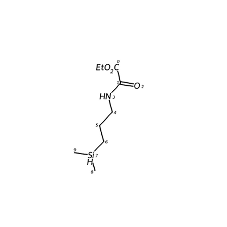 CCOC(=O)C(=O)NCCC[SiH](C)C